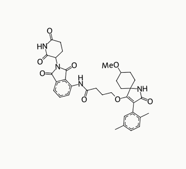 COC1CCC2(CC1)NC(=O)C(c1cc(C)ccc1C)=C2OCCCC(=O)Nc1cccc2c1C(=O)N(C1CCC(=O)NC1=O)C2=O